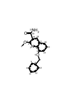 COc1nc2c(OCc3ccccc3)cccc2cc1C(N)=O